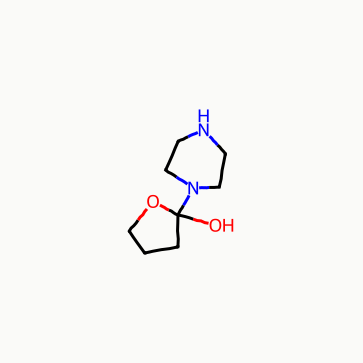 OC1(N2CCNCC2)CCCO1